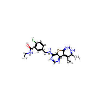 CC(=N)/C(C)=C1\C(=N)Sc2c(NCc3ccc(F)c(C(=O)NCC(C)C)c3)ncnc21